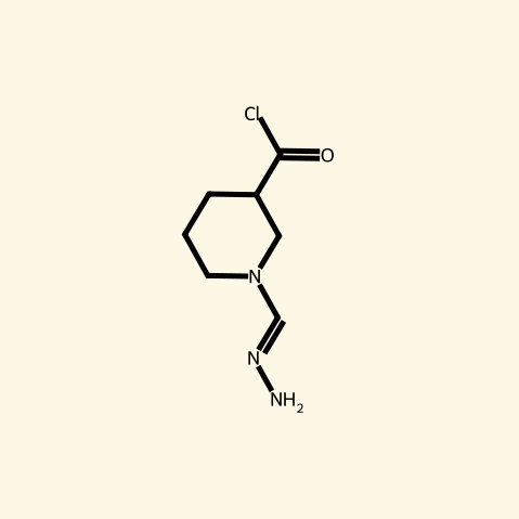 NN=CN1CCCC(C(=O)Cl)C1